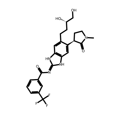 CN1CC[C@H](c2cc3[nH]/c(=N/C(=O)c4cccc(C(F)(F)F)c4)[nH]c3cc2CC[C@H](O)CO)C1=O